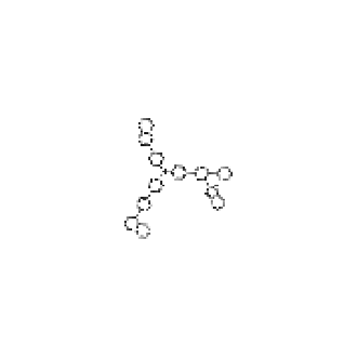 c1ccc(-c2ccc(-c3ccc(N(c4ccc(-c5ccc(-c6cccc7ccccc67)cc5)cc4)c4ccc(-c5ccc6ccccc6c5)cc4)cc3)cc2-c2cc3ccccc3o2)cc1